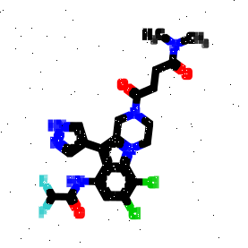 CN(C)C(=O)CCC(=O)N1CCn2c(c(-c3cn[nH]c3)c3c(NC(=O)C(F)F)cc(Cl)c(Cl)c32)C1